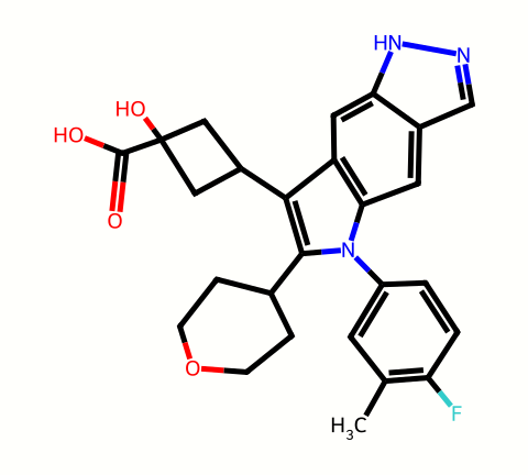 Cc1cc(-n2c(C3CCOCC3)c(C3CC(O)(C(=O)O)C3)c3cc4[nH]ncc4cc32)ccc1F